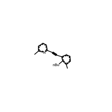 CCCCc1c(C#Cc2cccc(C)n2)[c]ccc1C